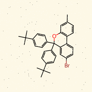 Cc1ccc2c(c1)OC(c1ccc(C(C)(C)C)cc1)(c1ccc(C(C)(C)C)cc1)c1cc(Br)ccc1-2